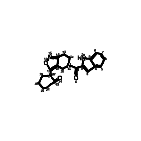 O=C(c1cc2ccccc2[nH]1)N1CCc2noc(N3CCCCC3=O)c2C1